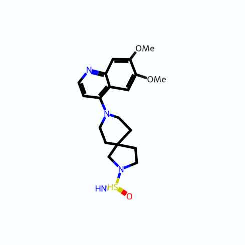 COc1cc2nccc(N3CCC4(CC3)CCN([SH](=N)=O)C4)c2cc1OC